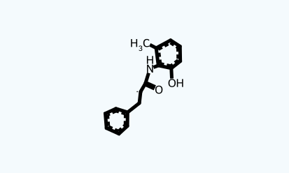 Cc1cccc(O)c1NC(=O)[CH]Cc1ccccc1